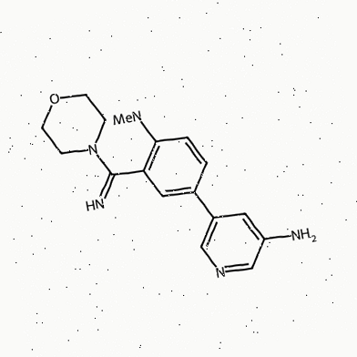 CNc1ccc(-c2cncc(N)c2)cc1C(=N)N1CCOCC1